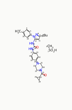 CS(=O)(=O)O.Cc1ccc(-n2nc(C(C)(C)C)cc2NC(=O)Nc2ccc(N3CCN(C(=O)C4CC4)CC3)cc2)cc1